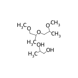 CC(O)CO.COCC(C)OCC(C)OC